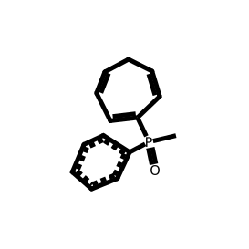 CP(=O)(C1=CC=CCC=C1)c1ccccc1